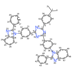 CC(C)c1ccc(-c2nc(-c3ccc(-n4c(-c5ccccc5)nc5ccccc54)cc3)nc(-c3ccc(-n4c(-c5ccccc5)nc5ccccc54)cc3)n2)cc1